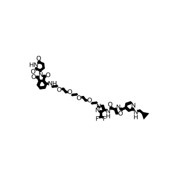 O=C1CCC(N2C(=O)c3cccc(NCCOCCOCCOCCOCCn4cc(NC(=O)c5coc(-c6ccnc(NCC7CC7)c6)n5)c(C(F)F)n4)c3C2=O)C(=O)N1